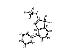 CC1(C)C(C[Si](C)(C)C)=Cc2c(-c3ccccc3)cccc21